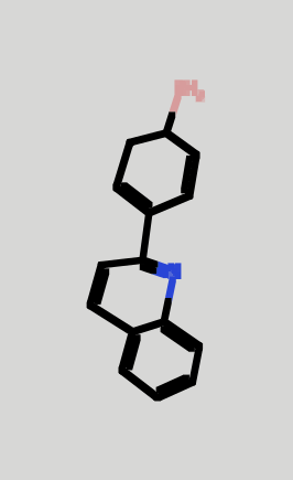 BC1C=CC(c2ccc3ccccc3n2)=CC1